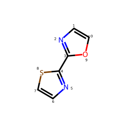 [c]1cnc(-c2nccs2)o1